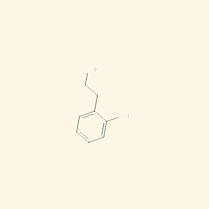 Cc1ccccc1CC[C]=O